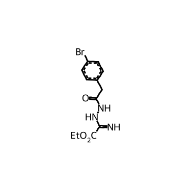 CCOC(=O)C(=N)NNC(=O)Cc1ccc(Br)cc1